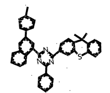 Cc1ccc(-c2cc(-c3nc(-c4ccccc4)nc(-c4ccc5c(c4)Sc4ccccc4C5(C)C)n3)c3ccccc3c2)cc1